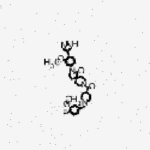 COc1cc(CN2CCC(C(=O)N3CCC4(CC3)CCN(c3ccc(-c5cn[nH]c5)c(OC)c3)C4=O)CC2)ccc1F